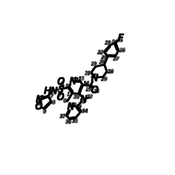 Cc1c(S(=O)(=O)Nc2ccon2)ncc(C(=O)N2CCC(c3ccc(F)cc3)CC2)c1N(C)c1ccccn1